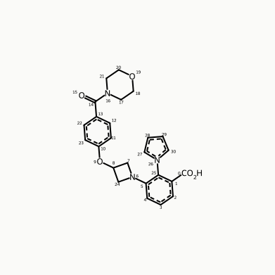 O=C(O)c1cccc(N2CC(Oc3ccc(C(=O)N4CCOCC4)cc3)C2)c1-n1cccc1